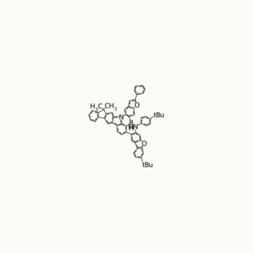 CC(C)(C)c1ccc(Nc2cc3oc4cc(C(C)(C)C)ccc4c3cc2-c2ccc3c4cc5c(cc4n4c3c2Bc2cc3oc(-c6ccccc6)cc3cc2-4)C(C)(C)c2ccccc2-5)cc1